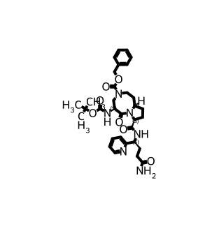 CC(C)(C)OC(=O)N[C@H]1CN(C(=O)OCc2ccccc2)CC[C@H]2CC[C@@H](C(=O)N[C@@H](CCC(N)=O)c3ccccn3)N2C1=O